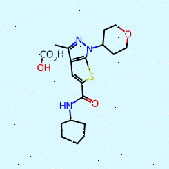 Cc1nn(C2CCOCC2)c2sc(C(=O)NC3CCCCC3)cc12.O=C(O)O